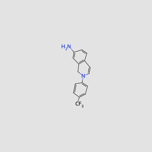 Nc1ccc2c(c1)CN(c1ccc(C(F)(F)F)cc1)C=C2